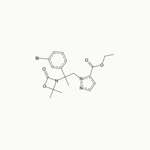 CCOC(=O)c1ccnn1CC(C)(c1cccc(Br)c1)N1C(=O)OC1(C)C